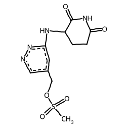 CS(=O)(=O)OCc1cnnc(NC2CCC(=O)NC2=O)c1